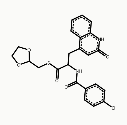 O=C(NC(Cc1cc(=O)[nH]c2ccccc12)C(=O)SCC1OCCO1)c1ccc(Cl)cc1